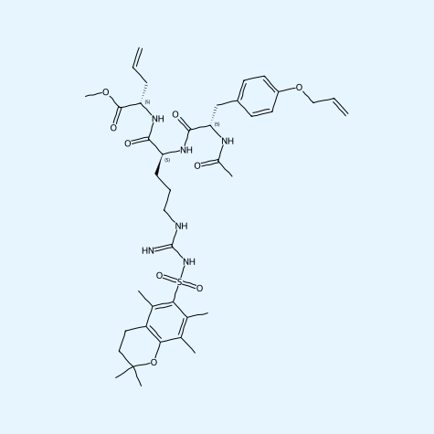 C=CCOc1ccc(C[C@H](NC(C)=O)C(=O)N[C@@H](CCCNC(=N)NS(=O)(=O)c2c(C)c(C)c3c(c2C)CCC(C)(C)O3)C(=O)N[C@@H](CC=C)C(=O)OC)cc1